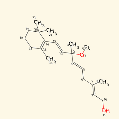 CCOC(C)(/C=C/C/C(C)=C/CO)/C=C/C1=C(C)CCCC1(C)C